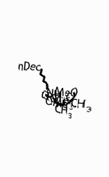 CCCCCCCCCCCCCCCCNP(=O)(OC)OCC(C)(C)COCC(C)(C)COC